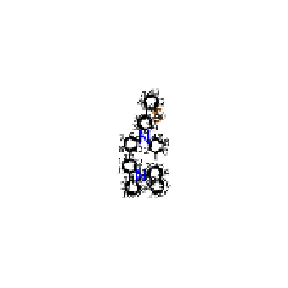 c1ccc(N(c2cccc(-c3ccc4c5ccccc5n(-c5cccc6ccccc56)c4c3)c2)c2ccc3c(c2)sc2ccccc23)cc1